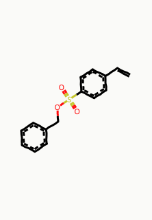 C=Cc1ccc(S(=O)(=O)OCc2ccccc2)cc1